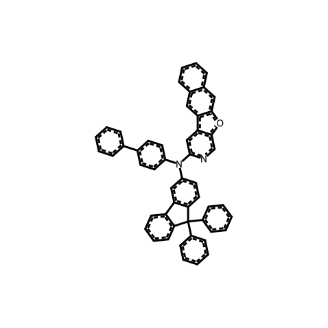 c1ccc(-c2ccc(N(c3ccc4c(c3)-c3ccccc3C4(c3ccccc3)c3ccccc3)c3cc4c(cn3)oc3cc5ccccc5cc34)cc2)cc1